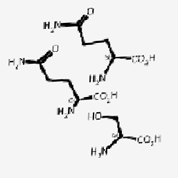 NC(=O)CC[C@H](N)C(=O)O.NC(=O)CC[C@H](N)C(=O)O.N[C@@H](CO)C(=O)O